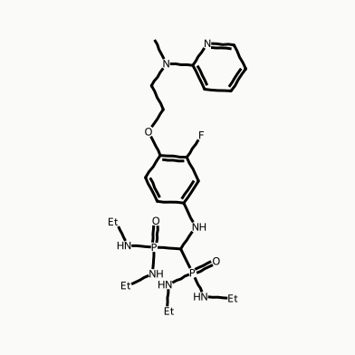 CCNP(=O)(NCC)C(Nc1ccc(OCCN(C)c2ccccn2)c(F)c1)P(=O)(NCC)NCC